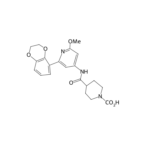 COc1cc(NC(=O)C2CCN(C(=O)O)CC2)cc(-c2cccc3c2OCCO3)n1